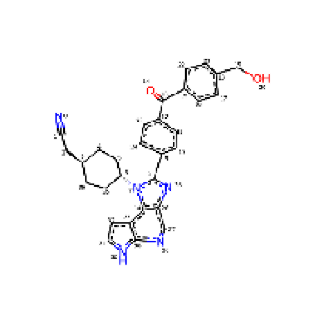 N#CC[C@H]1CC[C@H](n2c(-c3ccc(C(=O)c4ccc(CO)cc4)cc3)nc3cnc4[nH]ccc4c32)CC1